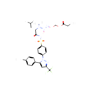 CCC(=O)OCO/N=[N+](\[O-])N(C)[C@@H](CC(C)C)C(=O)NS(=O)(=O)c1ccc(-n2nc(C(F)(F)F)cc2-c2ccc(C)cc2)cc1